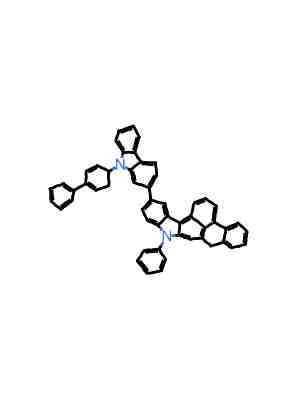 C1=CC(n2c3ccccc3c3ccc(-c4ccc5c(c4)c4c6cccc7c6c(cc4n5-c4ccccc4)Cc4ccccc4-7)cc32)CC=C1c1ccccc1